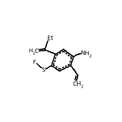 C=Cc1cc(SF)c(C(=C)CC)cc1N